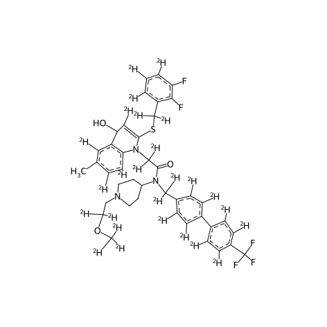 [2H]C1=C(SC([2H])([2H])c2c([2H])c([2H])c([2H])c(F)c2F)N(C([2H])([2H])C(=O)N(C2CCN(CC([2H])([2H])OC([2H])([2H])[2H])CC2)C([2H])([2H])c2c([2H])c([2H])c(-c3c([2H])c([2H])c(C(F)(F)F)c([2H])c3[2H])c([2H])c2[2H])c2c([2H])c([2H])c(C)c([2H])c2C1O